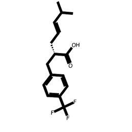 CC(C)/C=C/C[C@@H](Cc1ccc(C(F)(F)F)cc1)C(=O)O